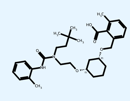 Cc1ccccc1NC(=O)N(CCO[C@H]1CCC[C@@H](OCc2cccc(C)c2C(=O)O)C1)CCC(C)(C)C